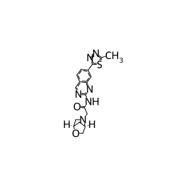 Cc1nnc(-c2ccc3cnc(NC(=O)CN4C[C@H]5C[C@@H]4CO5)nc3c2)s1